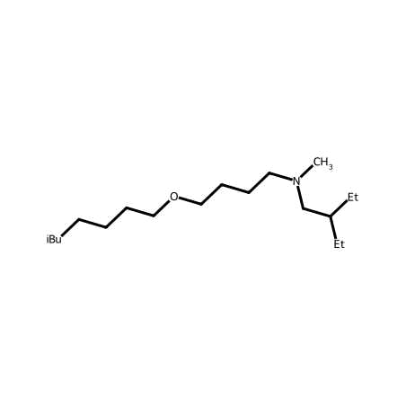 CCC(C)CCCCOCCCCN(C)CC(CC)CC